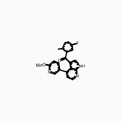 COc1ccc(-c2ccnc3[nH]cc(C(=O)c4cc(F)ccc4C)c23)cn1